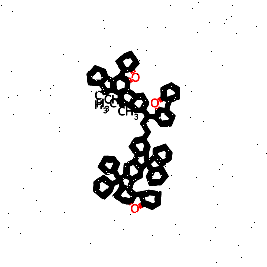 CC1(C)c2cc(C(CCc3ccc4c(c3)C(c3ccccc3)(c3ccccc3)c3cc5c(cc3-4)C(c3ccccc3)(c3ccccc3)c3ccc4oc6ccccc6c4c3-5)c3cccc4c3oc3ccccc34)ccc2-c2c1c1c(c3c2oc2ccccc23)-c2ccccc2C1(C)C